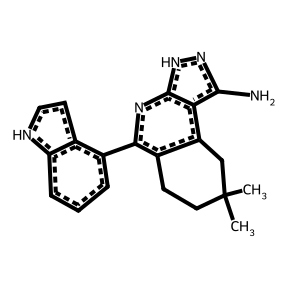 CC1(C)CCc2c(-c3cccc4[nH]ccc34)nc3[nH]nc(N)c3c2C1